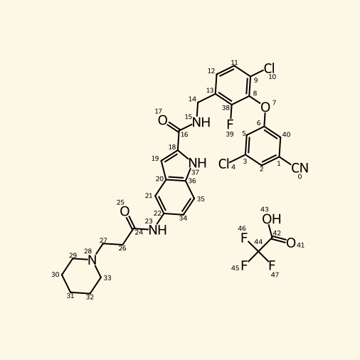 N#Cc1cc(Cl)cc(Oc2c(Cl)ccc(CNC(=O)c3cc4cc(NC(=O)CCN5CCCCC5)ccc4[nH]3)c2F)c1.O=C(O)C(F)(F)F